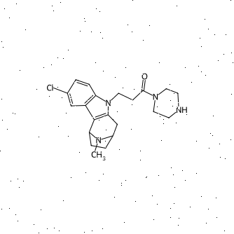 CN1C2CCC1c1c(n(CCC(=O)N3CCNCC3)c3ccc(Cl)cc13)C2